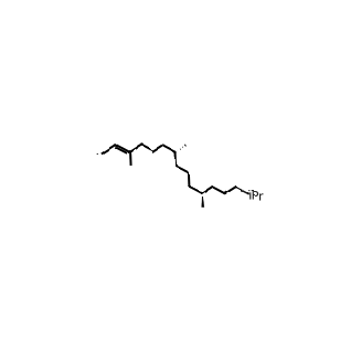 [CH2]/C=C(\C)CCC[C@H](C)CCC[C@H](C)CCCC(C)C